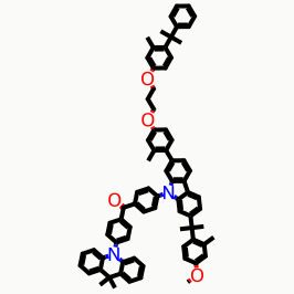 COc1ccc(C(C)(C)c2ccc3c4ccc(-c5ccc(OCCCOc6ccc(C(C)(C)c7ccccc7)c(C)c6)cc5C)cc4n(-c4ccc(C(=O)c5ccc(N6c7ccccc7C(C)(C)c7ccccc76)cc5)cc4)c3c2)c(C)c1